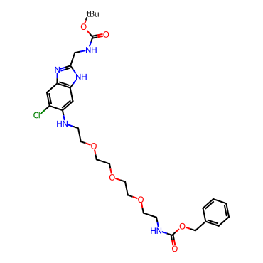 CC(C)(C)OC(=O)NCc1nc2cc(Cl)c(NCCOCCOCCOCCNC(=O)OCc3ccccc3)cc2[nH]1